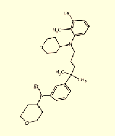 CCN(c1cccc(C(C)(C)CCCN(c2cccc(C(C)C)c2C)C2CCOCC2)c1)C1CCOCC1